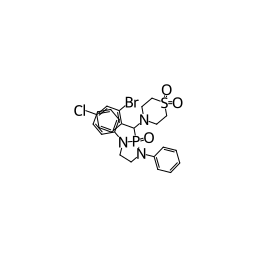 O=P1(C(c2ccc(Cl)cc2Br)N2CCS(=O)(=O)CC2)N(c2ccccc2)CCN1c1ccccc1